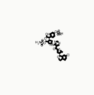 Cc1sc(C(=O)c2cncnc2N[C@H]2CC(COS(N)(=O)=O)[C@@H](C(C(=O)O)c3ccc(OP(=O)(O)O)cc3)C2)cc1[C@@H]1OCCc2ccc(Cl)cc21